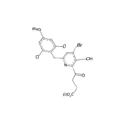 CCOC(=O)CCC(=O)c1nc(Cc2c(Cl)cc(OC)cc2Cl)cc(Br)c1O